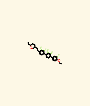 C=CC1CCC(CCc2ccc(-c3ccc(-c4ccc(OCC)c(F)c4)c(F)c3F)c(F)c2F)CO1